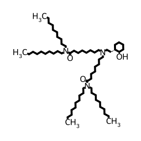 CCCCCCCCCCN(CCCCCCCCCC)C(=O)CCCCCCCN(CCCCCCCC(=O)N(CCCCCCCCCC)CCCCCCCCCC)CC[C@@H]1CCCC[C@H]1O